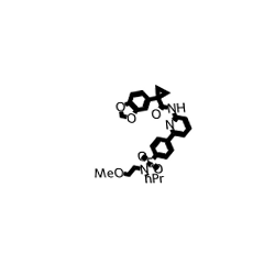 CCCN(CCOC)S(=O)(=O)c1ccc(-c2cccc(NC(=O)C3(c4ccc5c(c4)OCO5)CC3)n2)cc1